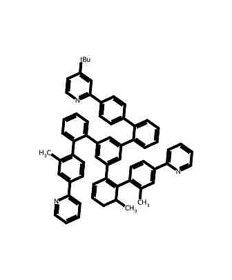 Cc1cc(-c2ccccn2)ccc1C1=C(c2cc(-c3ccccc3-c3ccc(-c4cc(C(C)(C)C)ccn4)cc3)cc(-c3ccccc3-c3ccc(-c4ccccn4)cc3C)c2)C=CCC1C